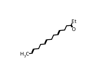 CC=CCCC=CCCC=CCCC(=O)CC